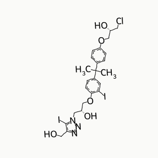 CC(C)(c1ccc(OC[C@H](O)CCl)cc1)c1ccc(OC[C@H](O)Cn2nnc(CO)c2I)c(I)c1